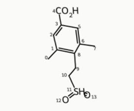 Cc1cc(C(=O)O)cc(C)c1CC[SH](=O)=O